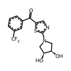 O=C(c1cccc(C(F)(F)F)c1)c1cnc(N2C[C@@H](O)[C@@H](O)C2)s1